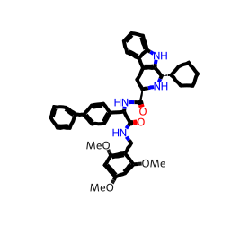 COc1cc(OC)c(CNC(=O)C(NC(=O)[C@H]2Cc3c([nH]c4ccccc34)[C@H](C3CCCCC3)N2)c2ccc(-c3ccccc3)cc2)c(OC)c1